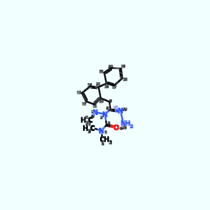 C=NN(C(=O)N(C)C)/C(Cc1ccccc1-c1ccccc1)=N\N